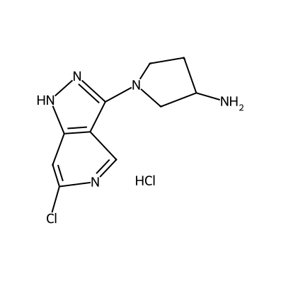 Cl.NC1CCN(c2n[nH]c3cc(Cl)ncc23)C1